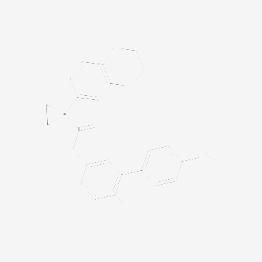 Cc1ccc(CC(=O)C2(c3ccc4c(c3)OCCO4)CC2)cc1-c1ccc(C(C)(C)C)cc1